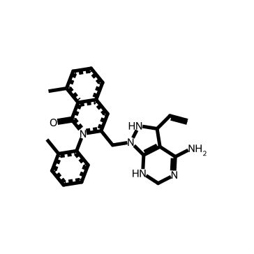 C=CC1NN(Cc2cc3cccc(C)c3c(=O)n2-c2ccccc2C)C2=C1C(N)=NCN2